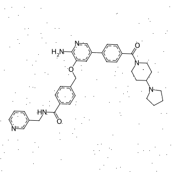 Nc1ncc(-c2ccc(C(=O)N3CCC(N4CCCC4)CC3)cc2)cc1OCc1ccc(C(=O)NCc2cccnc2)cc1